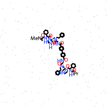 CN[C@@H](C)C(=O)N[C@H](C(=O)N1CCNC[C@H]1CN(CCc1ccccc1)C(=O)CNC(=O)c1ccc(-c2ccc(C(=O)NCC(=O)N(CCc3ccccc3)C[C@@H]3CNCCN3C(=O)[C@@H](NC(=O)C(C)C)C3CCCCC3)cc2)cc1)C1CCCCC1